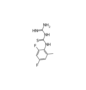 Cc1cc(F)cc(F)c1NC(=S)NC(=N)N